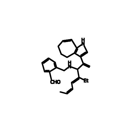 C=C(c1c[nH]c2c1CCCC=C2)C(NCc1ccccc1C=O)/C(=C/C=C\C)CC